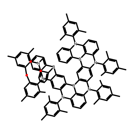 Cc1cc(C)c(N2c3ccccc3B3c4cc5c(cc4N(c4c(C)cc(C)cc4C)c4cccc2c43)N(c2c(C)cc(C)cc2C)c2cccc3c2B5c2cc4c(cc2N3c2c(C)cc(C)cc2C)N(c2c(C)cc(C)cc2C)c2cccc3c2B4c2ccccc2N3c2c(C)cc(C)cc2C)c(C)c1